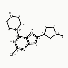 CN1CCC(c2cc3nc(Cl)nc(N4CCOCC4)c3o2)C1